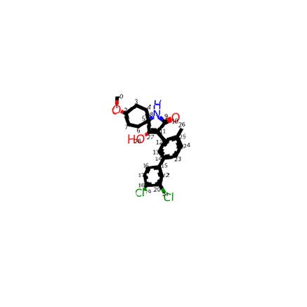 COC1CCC2(CC1)NC(=O)C(c1cc(-c3ccc(Cl)c(Cl)c3)ccc1C)=C2O